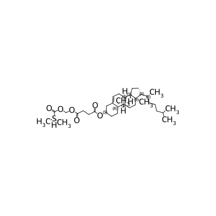 CC(C)CCC[C@@H](C)[C@H]1CC[C@H]2[C@@H]3CC=C4C[C@@H](OC(=O)CCC(=O)OCOC(=O)[SH](C)C)CC[C@]4(C)[C@H]3CC[C@]12C